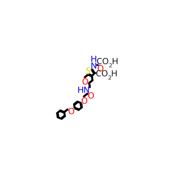 O=C(COc1ccc(OCc2ccccc2)cc1)NCC1Cc2c(sc(NC(=O)C(=O)O)c2C(=O)O)CO1